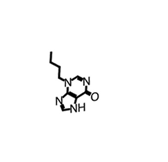 CCCCn1cnc(=O)c2[nH]cnc21